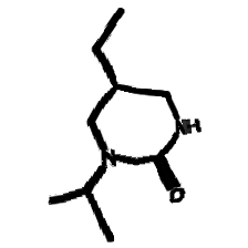 CCC1CNC(=O)N(C(C)C)C1